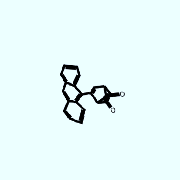 O=C1C(=O)C2C=CC1C=C2c1c2ccccc2cc2ccccc12